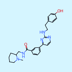 CN1CCCCC1CNC(=O)c1cccc(-c2ccnc(NCCc3ccc(O)cc3)n2)c1